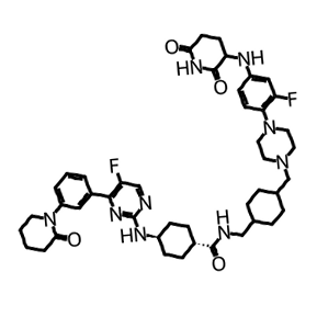 O=C1CCC(Nc2ccc(N3CCN(CC4CCC(CNC(=O)[C@H]5CC[C@H](Nc6ncc(F)c(-c7cccc(N8CCCCC8=O)c7)n6)CC5)CC4)CC3)c(F)c2)C(=O)N1